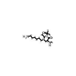 CNC(CN(CCO)CCCCCCN)C(=O)OC(C)(C)C